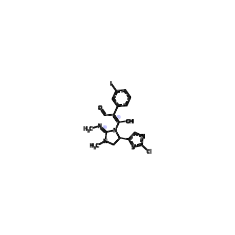 C/N=C1\N(C)CC(c2cnc(Cl)s2)N1/C(O)=C(\C=O)c1cccc(I)c1